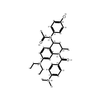 CCN(CC)c1ccc2c(c1)N(C(=O)c1ccc(N(C)C)cc1)C(C)CC2N(C(C)=O)c1ccc(Cl)cc1